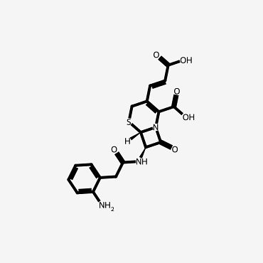 Nc1ccccc1CC(=O)N[C@@H]1C(=O)N2C(C(=O)O)=C(C=CC(=O)O)CS[C@@H]12